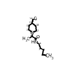 CCCCCNC(=O)C(C)N1CCC(C=O)CC1